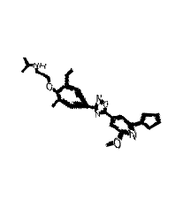 CCc1cc(-c2noc(-c3cc(OC)nc(C4CCCC4)c3)n2)cc(C)c1OCCNC(C)C